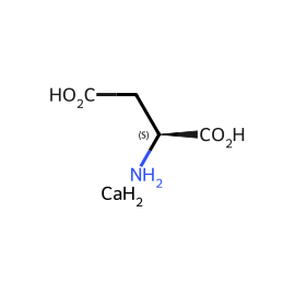 N[C@@H](CC(=O)O)C(=O)O.[CaH2]